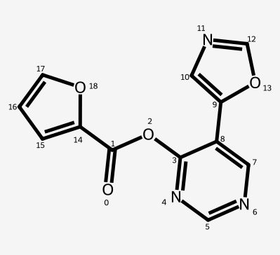 O=C(Oc1ncncc1-c1cnco1)c1ccco1